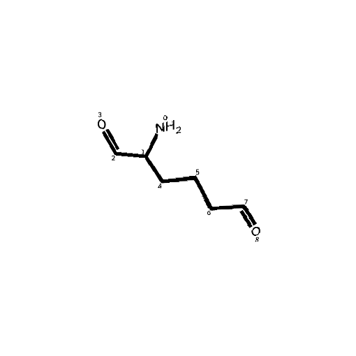 NC(C=O)CCCC=O